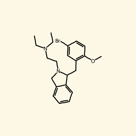 CCN(CC)CCN1Cc2ccccc2C1Cc1cc(Br)ccc1OC